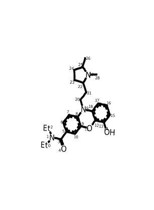 CCN(CC)C(=O)c1ccc2c(c1)Oc1c(O)cccc1N2CCC1CCC(C)N1C